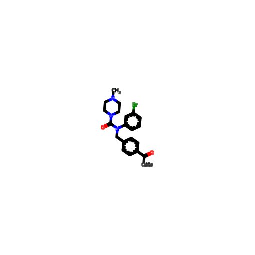 COC(=O)c1ccc(CN(C(=O)N2CCN(C)CC2)c2cccc(Br)c2)cc1